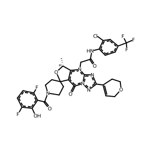 C[C@H]1OC2(CCN(C(=O)c3c(F)ccc(F)c3O)CC2)c2c1n(CC(=O)Nc1ccc(C(F)(F)F)cc1Cl)c1nc(C3=CCOCC3)nn1c2=O